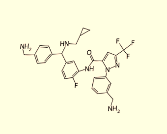 NCc1ccc(C(NCC2CC2)c2ccc(F)c(NC(=O)c3cc(C(F)(F)F)nn3-c3cccc(CN)c3)c2)cc1